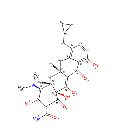 CN(C)[C@@H]1C(O)C(C(N)=O)C(=O)[C@@]2(O)C(O)=C3C(=O)c4c(O)ccc(CC5CC5)c4C[C@H]3C[C@@H]12